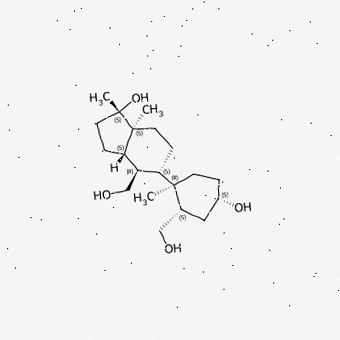 C[C@]1([C@H]2CC[C@@]3(C)[C@@H](CC[C@]3(C)O)[C@@H]2CO)CC[C@H](O)C[C@@H]1CO